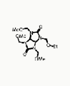 CCOCN1C(=O)N(COC)C2C1N(COC)C(=O)N2COC